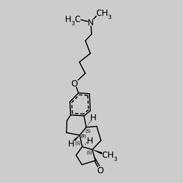 CN(C)CCCCCOc1ccc2c(c1)CC[C@@H]1[C@@H]2CC[C@]2(C)C(=O)CC[C@@H]12